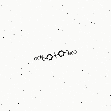 CC(C)(c1ccc(ON=C=O)cc1)c1ccc(ON=C=O)cc1